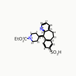 CCOC(=O)N1CCC(=C2c3ccc(S(=O)(=O)O)cc3CCc3cccnc32)CC1